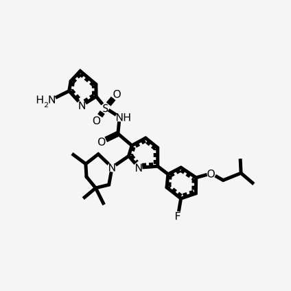 CC(C)COc1cc(F)cc(-c2ccc(C(=O)NS(=O)(=O)c3cccc(N)n3)c(N3CC(C)CC(C)(C)C3)n2)c1